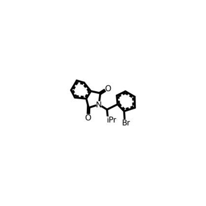 CC(C)C(c1ccccc1Br)N1C(=O)c2ccccc2C1=O